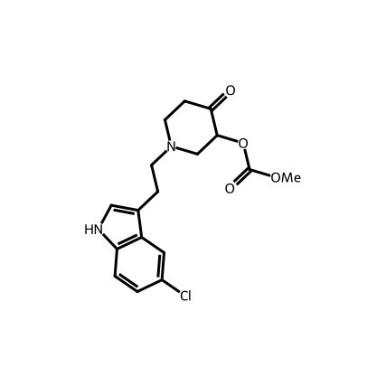 COC(=O)OC1CN(CCc2c[nH]c3ccc(Cl)cc23)CCC1=O